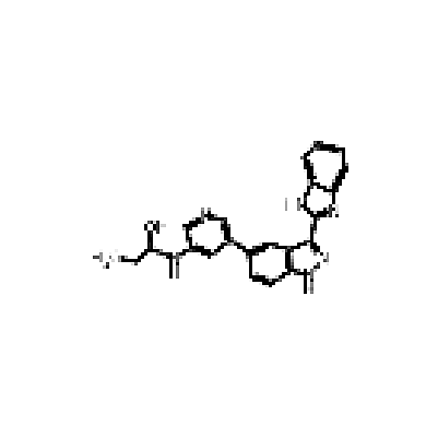 CCC(O)Nc1cncc(-c2ccc3[nH]nc(-c4nc5ccccc5[nH]4)c3c2)c1